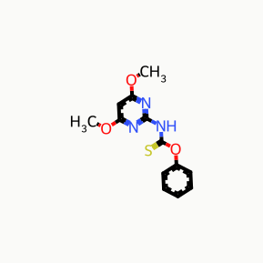 COc1cc(OC)nc(NC(=S)Oc2ccccc2)n1